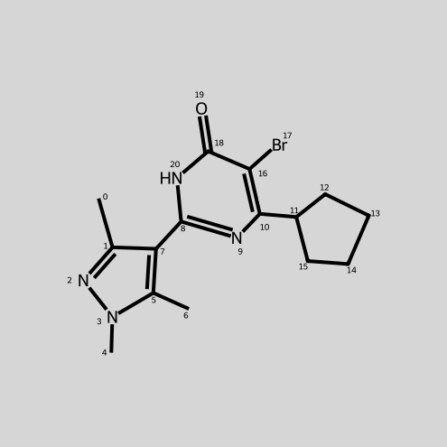 Cc1nn(C)c(C)c1-c1nc(C2CCCC2)c(Br)c(=O)[nH]1